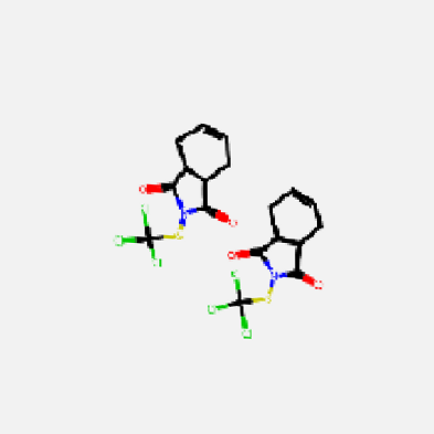 O=C1C2CC=CCC2C(=O)N1SC(Cl)(Cl)Cl.O=C1C2CC=CCC2C(=O)N1SC(Cl)(Cl)Cl